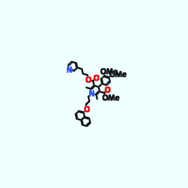 COC(=O)C1=C(C)N(CCCOc2cccc3ccccc23)C(C)=C(C(=O)OCCCc2cccnc2)C1c1ccc(OC)c(OC)c1